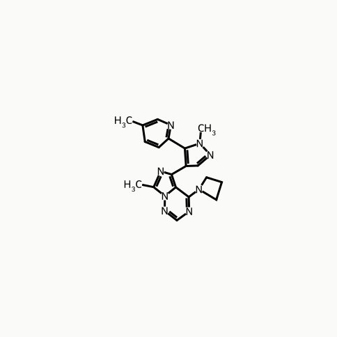 Cc1ccc(-c2c(-c3nc(C)n4ncnc(N5CCC5)c34)cnn2C)nc1